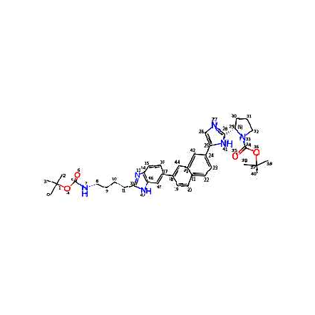 CC(C)(C)OC(=O)NCCCCc1nc2ccc(-c3ccc4ccc(-c5cnc([C@@H]6CCCN6C(=O)OC(C)(C)C)[nH]5)cc4c3)cc2[nH]1